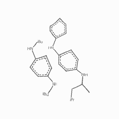 CC(C)CC(C)Nc1ccc(Nc2ccccc2)cc1.CCC(C)Nc1ccc(NC(C)CC)cc1